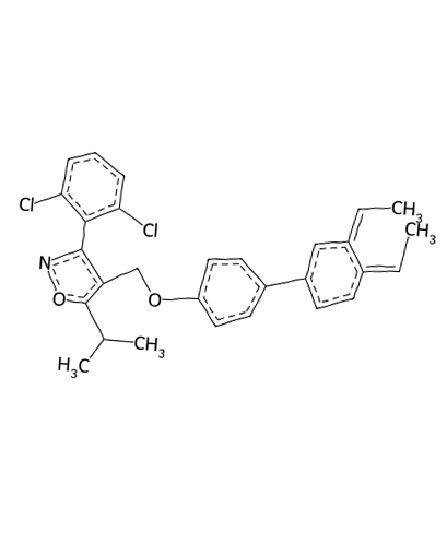 C/C=c1/ccc(-c2ccc(OCc3c(-c4c(Cl)cccc4Cl)noc3C(C)C)cc2)c/c1=C/C